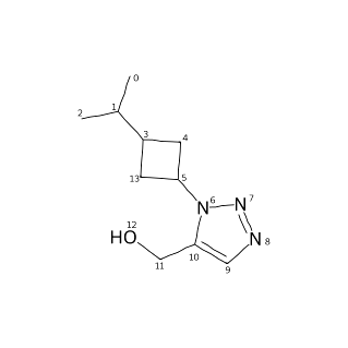 CC(C)C1CC(n2nncc2CO)C1